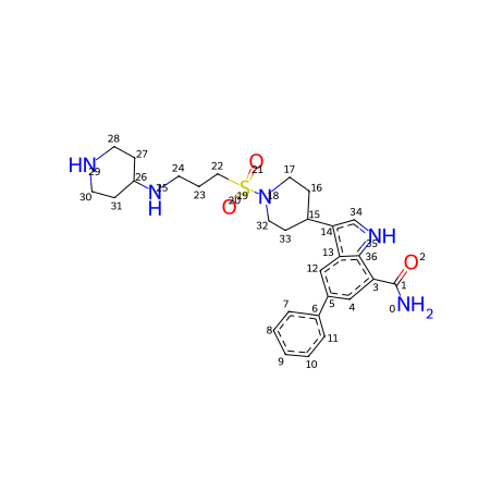 NC(=O)c1cc(-c2ccccc2)cc2c(C3CCN(S(=O)(=O)CCCNC4CCNCC4)CC3)c[nH]c12